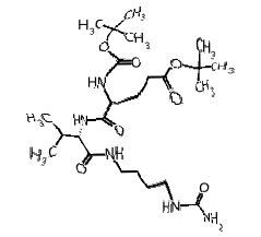 CC(C)[C@H](NC(=O)[C@H](CCC(=O)OC(C)(C)C)NC(=O)OC(C)(C)C)C(=O)NCCCCNC(N)=O